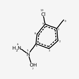 Cc1ccc(N(N)O)cc1Cl